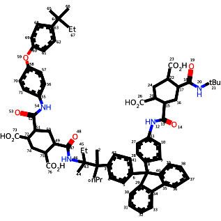 CCCC(C)(c1ccc(C2(c3ccc(NC(=O)C4CC(C(=O)NC(C)(C)C)C(C(=O)O)CC4C(=O)O)cc3)c3ccccc3-c3ccccc32)cc1)C(C)(CC)NC(=O)C1CC(C(=O)Nc2ccc(Oc3ccc(C(C)(C)CC)cc3)cc2)C(C(=O)O)CC1C(=O)O